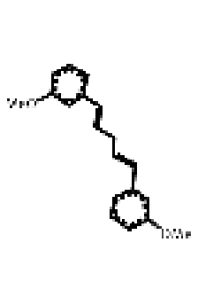 COc1cccc(C=CCC=Cc2cccc(OC)c2)c1